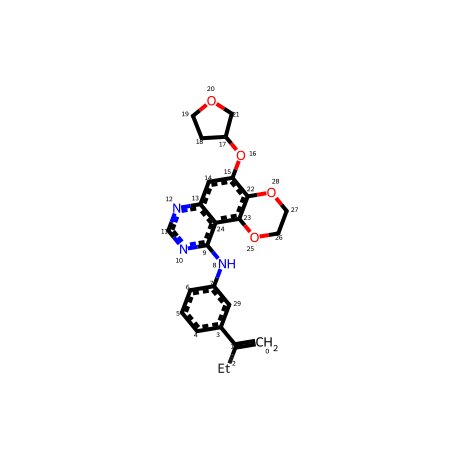 C=C(CC)c1cccc(Nc2ncnc3cc(OC4CCOC4)c4c(c23)OCCO4)c1